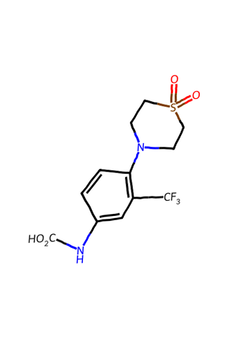 O=C(O)Nc1ccc(N2CCS(=O)(=O)CC2)c(C(F)(F)F)c1